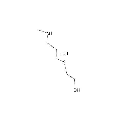 CNCCCSCCO.Cl